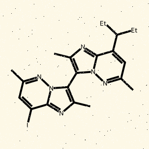 CCC(CC)c1cc(C)nn2c(-c3c(C)nc4c(I)cc(C)nn34)c(C)nc12